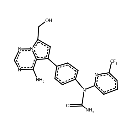 NC(=O)N(c1ccc(-c2cc(CO)n3ncnc(N)c23)cc1)c1cccc(C(F)(F)F)n1